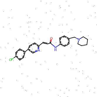 O=C(/C=C/c1ccc(-c2ccc(Cl)cc2)cn1)Nc1ccc(CN2CCCCC2)cc1